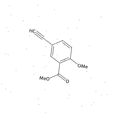 C#Cc1ccc(OC)c(C(=O)OC)c1